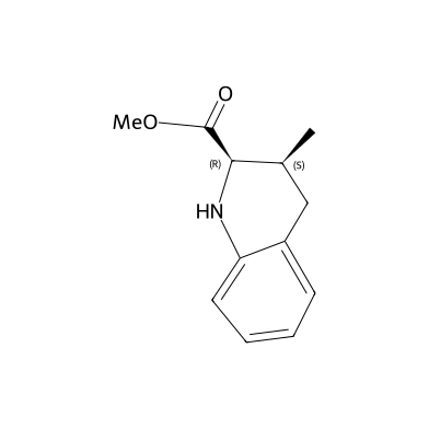 COC(=O)[C@@H]1Nc2ccccc2C[C@@H]1C